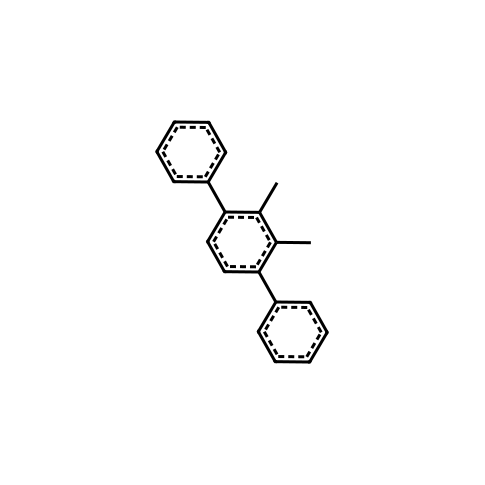 Cc1c(-c2ccccc2)ccc(-c2ccccc2)c1C